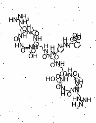 CC(C)[C@@H]1NC(=O)[C@@H](CCCNC(=N)N)NC(=O)CNC(=O)[C@@H](CC(=O)O)NC(=O)C(CCCCNC(=O)[C@H](CCC(=O)NCCCC[C@H]2NC(=O)[C@H](C(C)C)NC(=O)[C@@H](CCCNC(=N)N)NC(=O)CNC(=O)[C@@H](CC(=O)O)NC2=O)NC(=O)c2ccc(NN=Cc3ccccc3S(=O)(=O)O)nc2)NC1=O